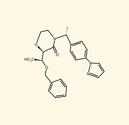 C[C@H](c1ccc(-n2cccn2)cc1)N1CCO[C@H]([C@@H](OCc2ccccc2)C(=O)O)C1=O